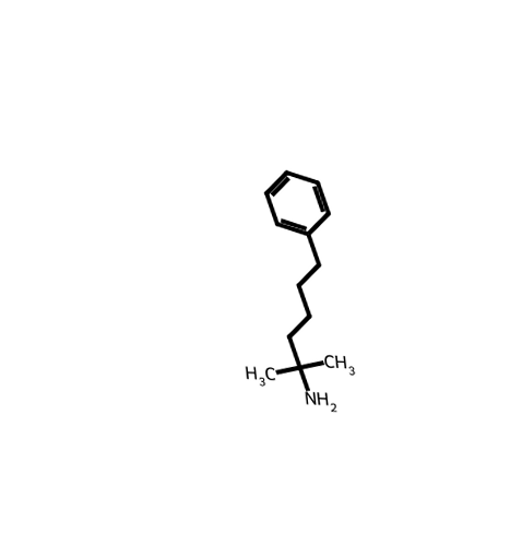 CC(C)(N)CCCCc1ccccc1